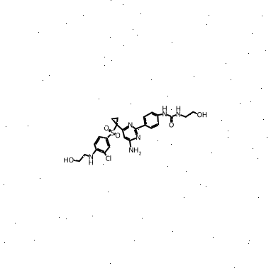 Nc1cc(C2(S(=O)(=O)c3ccc(NCCO)c(Cl)c3)CC2)nc(-c2ccc(NC(=O)NCCO)cc2)n1